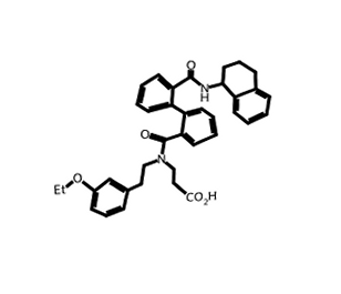 CCOc1cccc(CCN(CCC(=O)O)C(=O)c2ccccc2-c2ccccc2C(=O)NC2CCCc3ccccc32)c1